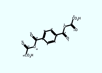 O=C(O)C(=O)OC(=O)c1ccc(C(=O)OC(=O)C(=O)O)cc1